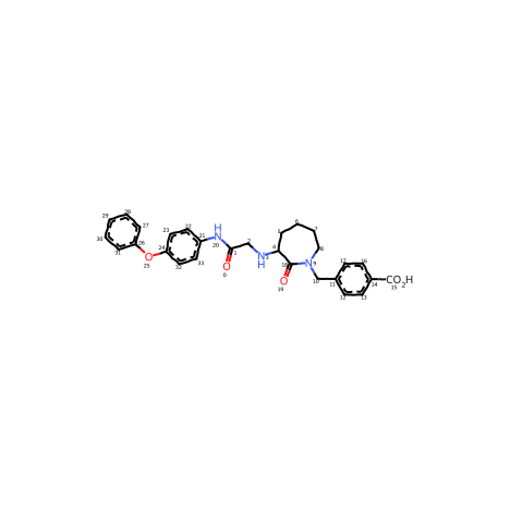 O=C(CNC1CCCCN(Cc2ccc(C(=O)O)cc2)C1=O)Nc1ccc(Oc2ccccc2)cc1